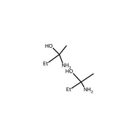 CCC(C)(N)O.CCC(C)(N)O